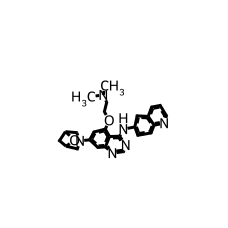 CN(C)CCOc1cc(N2CC3CC(C2)O3)cc2ncnc(Nc3ccc4ncccc4c3)c12